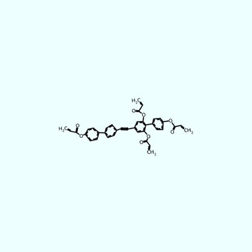 C=CC(=O)Oc1ccc(-c2ccc(C#Cc3cc(OC(=O)C=C)c(-c4ccc(OC(=O)C=C)cc4)c(OC(=O)C=C)c3)cc2)cc1